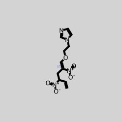 C=CC(C/C(=C/OCCn1ccnc1)[N+](=O)[O-])[N+](=O)[O-]